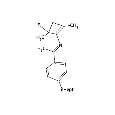 CCCCCCCc1ccc(/C(C)=N/C2=C(C)CC2(C)F)cc1